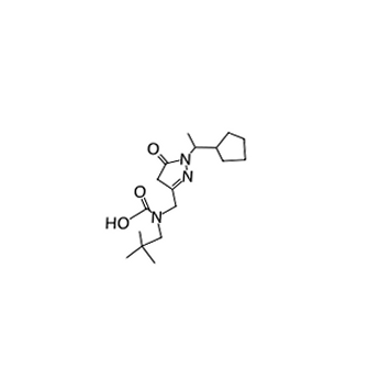 CC(C1CCCC1)N1N=C(CN(CC(C)(C)C)C(=O)O)CC1=O